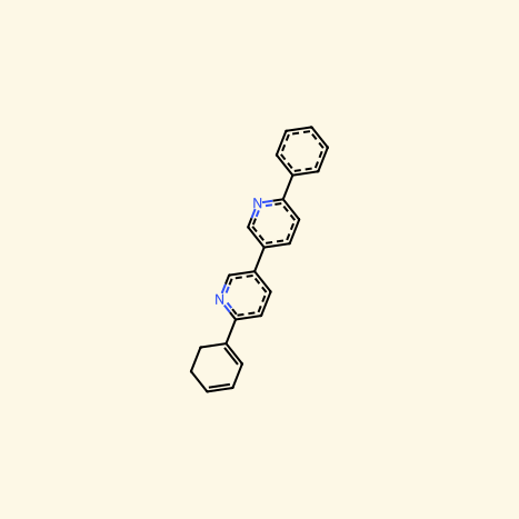 C1=CCCC(c2ccc(-c3ccc(-c4ccccc4)nc3)cn2)=C1